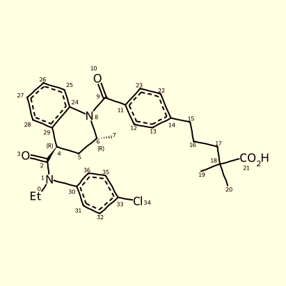 CCN(C(=O)[C@@H]1C[C@@H](C)N(C(=O)c2ccc(CCCC(C)(C)C(=O)O)cc2)c2ccccc21)c1ccc(Cl)cc1